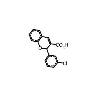 O=C(O)C1=Cc2ccccc2OC1c1cccc(Cl)c1